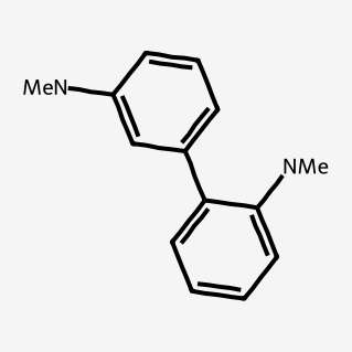 CNc1cccc(-c2ccccc2NC)c1